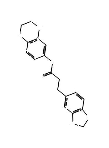 O=C(CCc1ccc2c(c1)OCO2)Nc1ccc2c(c1)OCCO2